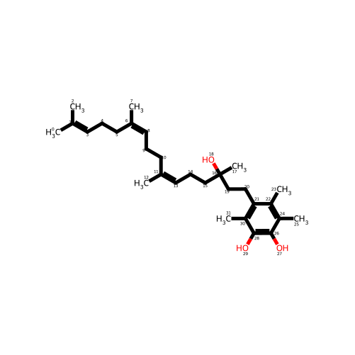 CC(C)=CCCC(C)=CCCC(C)=CCCC(C)(O)CCc1c(C)c(C)c(O)c(O)c1C